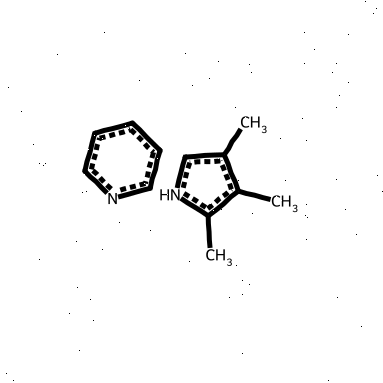 Cc1c[nH]c(C)c1C.c1ccncc1